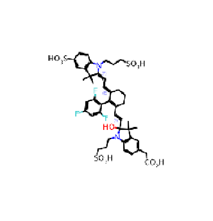 CC1(C)/C(=C\C=C2/CCCC(/C=C/C3(O)N(CCCS(=O)(=O)O)c4ccc(CC(=O)O)cc4C3(C)C)=C2c2c(F)cc(F)cc2F)N(CCCS(=O)(=O)O)c2ccc(S(=O)(=O)O)cc21